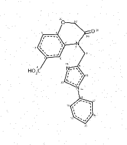 O=C(O)c1ccc2c(c1)N(Cc1cn(-c3ccccc3)cn1)C(=O)CO2